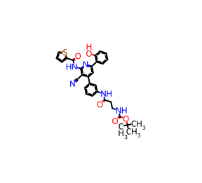 CC(C)(C)OC(=O)NCCC(=O)Nc1cccc(-c2cc(-c3ccccc3O)nc(NC(=O)c3cccs3)c2C#N)c1